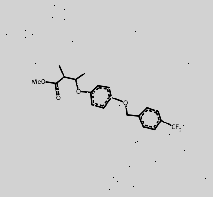 COC(=O)C(C)C(C)Oc1ccc(OCc2ccc(C(F)(F)F)cc2)cc1